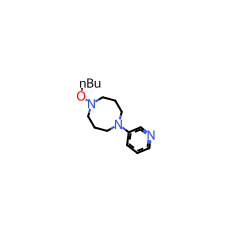 CCCCON1CCCN(c2cccnc2)CCC1